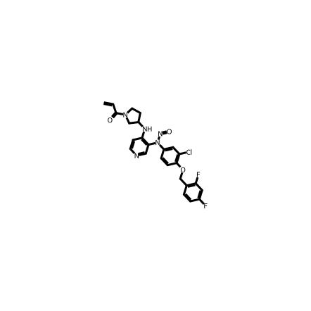 C=CC(=O)N1CCC(Nc2ccncc2N(N=O)c2ccc(OCc3ccc(F)cc3F)c(Cl)c2)C1